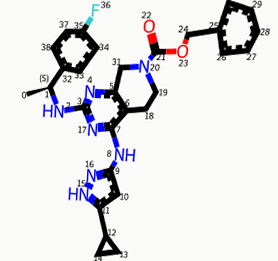 C[C@H](Nc1nc2c(c(Nc3cc(C4CC4)[nH]n3)n1)CCN(C(=O)OCc1ccccc1)C2)c1ccc(F)cc1